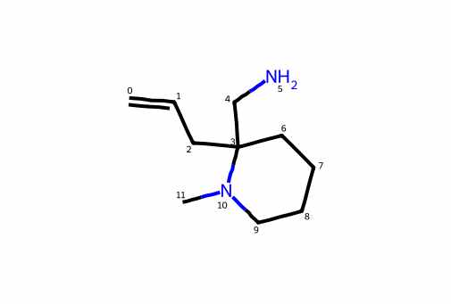 C=CCC1(CN)CCCCN1C